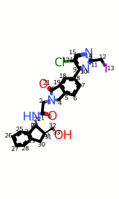 O=C(CN1Cc2ccc(-c3nc(CI)ncc3Cl)cc2C1=O)N[C@@H]1c2ccccc2C[C@@H]1CO